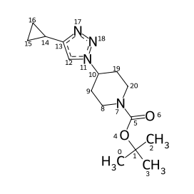 CC(C)(C)OC(=O)N1CCC(n2cc(C3CC3)nn2)CC1